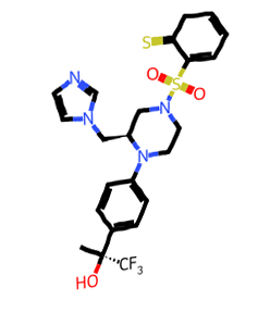 C[C@](O)(c1ccc(N2CCN(S(=O)(=O)C3=CC=CCC3=S)C[C@@H]2Cn2ccnc2)cc1)C(F)(F)F